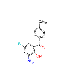 COc1ccc(C(=O)c2cc(F)cc(N)c2O)cc1